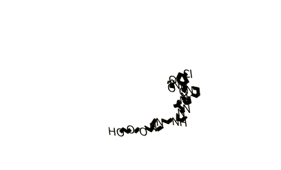 Cc1cn2nc([C@H]3CCCCN3C(=O)c3cc(Cl)ccc3NS(C)(=O)=O)cc2nc1N1CC[C@H](NCCCN2CCN(CCOCCOCCO)CC2)C1